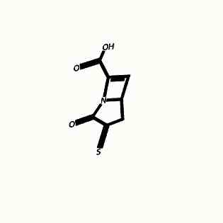 O=C(O)C1=CC2CC(=S)C(=O)N12